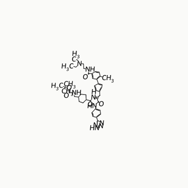 CCN(CC)CCNC(=O)c1ccc(C)c(-c2ccc(C[C@H](NC(=O)C3CCC(CNC(=O)OC(C)(C)C)CC3)C(=O)Nc3ccc(-c4nn[nH]n4)cc3)cc2)c1